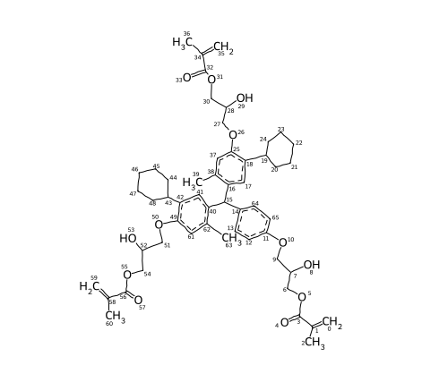 C=C(C)C(=O)OCC(O)COc1ccc(C(c2cc(C3CCCCC3)c(OCC(O)COC(=O)C(=C)C)cc2C)c2cc(C3CCCCC3)c(OCC(O)COC(=O)C(=C)C)cc2C)cc1